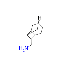 NCC1C2CC[C@@H]3CC1C2C3